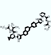 COC(=O)NOC(=O)N1CCS[C@H]1c1ncc(-c2ccc(-c3ccc4cc(-c5c[nH]c([C@@H]6CC7(CC7)CN6C(=O)[C@@H](NC(=O)OC)C(C)C)n5)ccc4c3)cc2)[nH]1